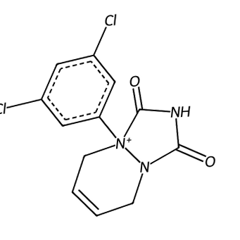 O=C1NC(=O)[N+]2(c3cc(Cl)cc(Cl)c3)CC=CCN12